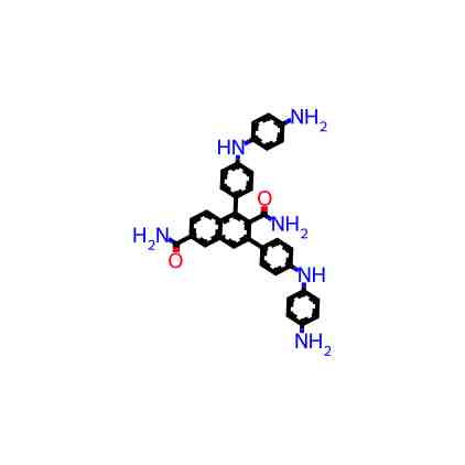 NC(=O)c1ccc2c(-c3ccc(Nc4ccc(N)cc4)cc3)c(C(N)=O)c(-c3ccc(Nc4ccc(N)cc4)cc3)cc2c1